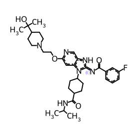 CC(C)NC(=O)C1CCC(n2/c(=N/C(=O)c3cccc(F)c3)[nH]c3cnc(OCCN4CCC(C(C)(C)O)CC4)cc32)CC1